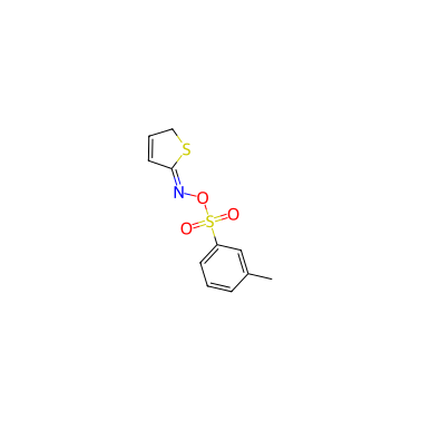 Cc1cccc(S(=O)(=O)ON=C2C=CCS2)c1